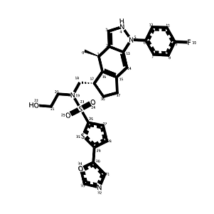 C[C@H]1C2=CNN(c3ccc(F)cc3)C2=CC2=C1[C@@H](CN(CCO)S(=O)(=O)c1ccc(-c3cnco3)s1)CC2